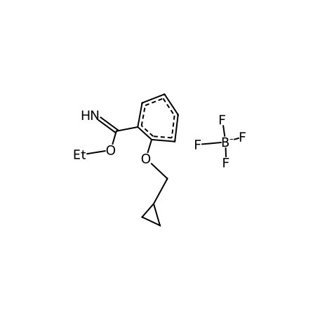 CCOC(=N)c1ccccc1OCC1CC1.F[B-](F)(F)F